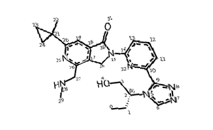 CC[C@H](CO)n1cnnc1-c1cccc(N2Cc3c(cc(C4(C)CC4)nc3CNC)C2=O)n1